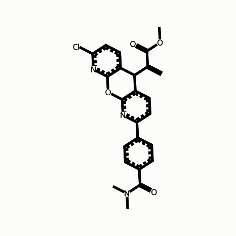 C=C(C(=O)OC)C1c2ccc(Cl)nc2Oc2nc(-c3ccc(C(=O)N(C)C)cc3)ccc21